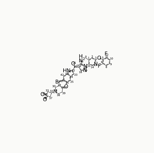 Cc1cc(Oc2c(F)cccc2F)ncc1-n1ncc(C(=O)c2cc3cc(OC4CCN(C5CS(=O)(=O)C5)CC4)c(Br)cc3[nH]2)c1N